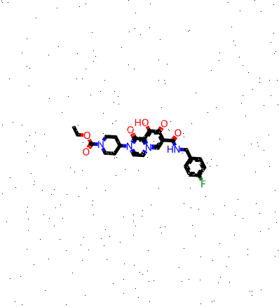 CCOC(=O)N1CCC(n2ccn3cc(C(=O)NCc4ccc(F)cc4)c(=O)c(O)c3c2=O)CC1